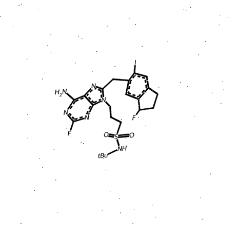 CC(C)(C)NS(=O)(=O)CCCn1c(Cc2cc3c(cc2I)CCC3F)nc2c(N)nc(F)nc21